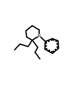 CCCC1(CCC)CCCCN1c1ccccc1